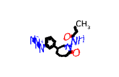 CCCC(=O)NN1CC(c2cccc(N=[N+]=[N-])c2)CCCC1=O